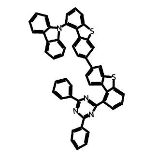 c1ccc(-c2nc(-c3ccccc3)nc(-c3cccc4sc5cc(-c6ccc7c(c6)sc6cccc(-n8c9ccccc9c9ccccc98)c67)ccc5c34)n2)cc1